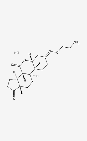 C[C@]12CCC(=NOCCN)C[C@H]1OC(=O)[C@@H]1[C@@H]2CC[C@]2(C)C(=O)CC[C@@H]12.Cl